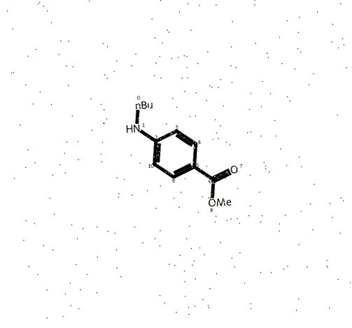 CCCCNc1ccc(C(=O)OC)cc1